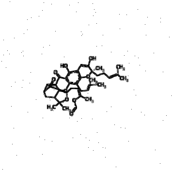 CC(C)=CCC[C@@]1(C)Oc2c(c(O)c3c(c2CC=C(C)C)O[C@]24C(=CC5CC2C(C)(C)OC4(C/C=C(/C)OC=O)C5=O)C3=O)C=C1O